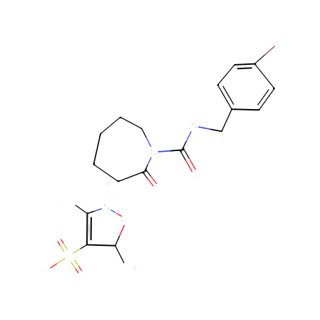 CC1=C(S(=O)(=O)O)C(C)ON1[C@@H]1CCCCN(C(=O)NCc2ccc(Br)cc2)C1=O